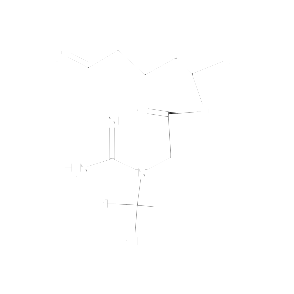 [2H]C([2H])([2H])N(CC(=O)OC(C)CCCC=C)C(=N)N